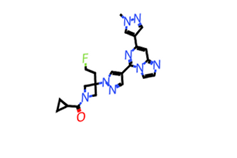 Cn1cc(-c2cc3nccn3c(-c3cnn(C4(CCF)CN(C(=O)C5CC5)C4)c3)n2)cn1